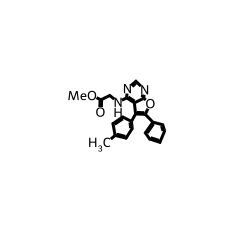 COC(=O)CNc1ncnc2oc(-c3ccccc3)c(-c3ccc(C)cc3)c12